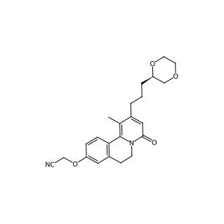 Cc1c(CCC[C@@H]2COCCO2)cc(=O)n2c1-c1ccc(OCC#N)cc1CC2